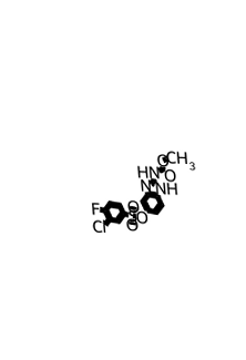 COC(=O)Nc1nc2cc(OS(=O)(=O)c3ccc(F)c(Cl)c3)ccc2[nH]1